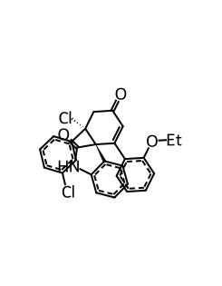 CCOc1ccccc1C1=CC(=O)C[C@](Cl)(c2cccc(Cl)c2)[C@@]12C(=O)Nc1ccccc12